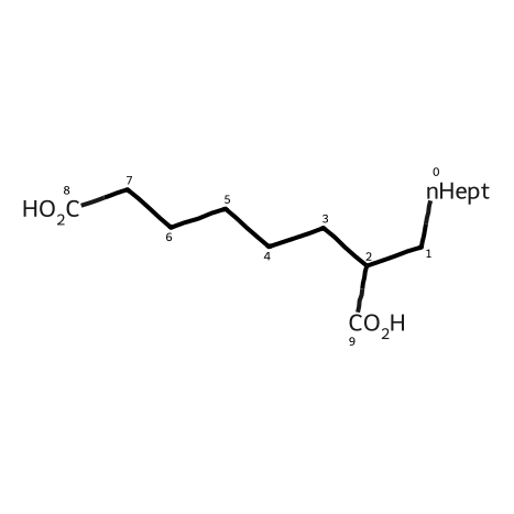 CCCCCCCCC(CCCCCC(=O)O)C(=O)O